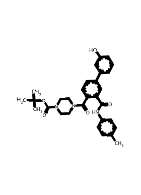 Cc1ccc(NC(=O)c2cc(-c3cccc(O)c3)ccc2C(=O)N2CCN(C(=O)OC(C)(C)C)CC2)cc1